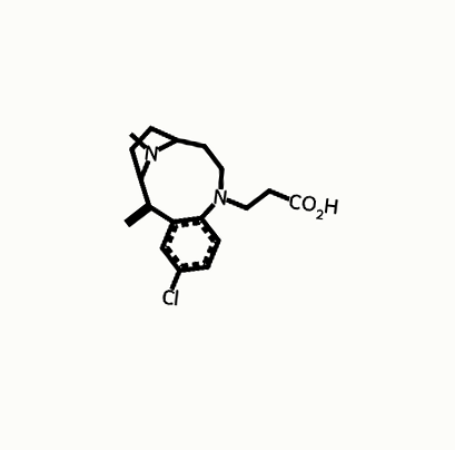 C=C1c2cc(Cl)ccc2N(CCC(=O)O)CCC2CCC1N2C